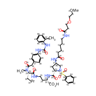 COCCOCCC(=O)NCCCCCC(=O)N[C@@H]1C[C@@H](C(=O)N[C@@H](CCNC(=O)[C@H](CC(C)C)N(C)C(=O)Cc2ccc(NC(=O)Nc3ccccc3C)cc2)C(=O)O)N(S(=O)(=O)c2ccccc2)C1